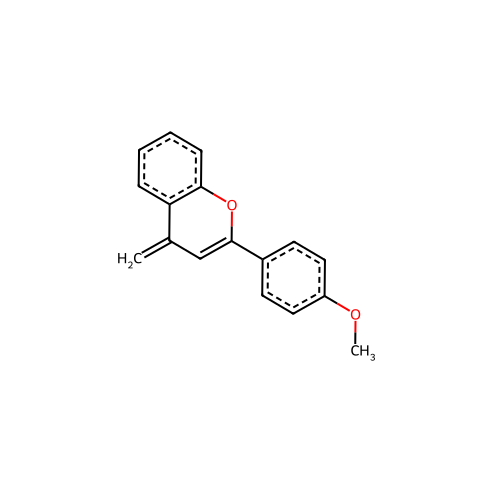 C=C1C=C(c2ccc(OC)cc2)Oc2ccccc21